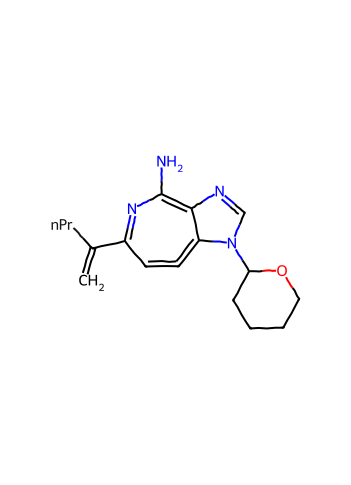 C=C(CCC)C1=NC(N)=c2ncn(C3CCCCO3)c2=C=C1